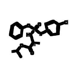 CC(C)OC(=O)[C@H](C)NP(=O)(Oc1ccccc1)Sc1ccc(Cl)cc1